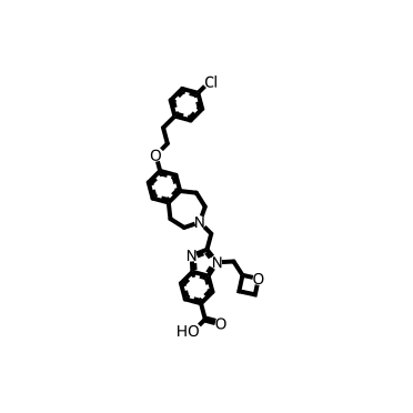 O=C(O)c1ccc2nc(CN3CCc4ccc(OCCc5ccc(Cl)cc5)cc4CC3)n(CC3CCO3)c2c1